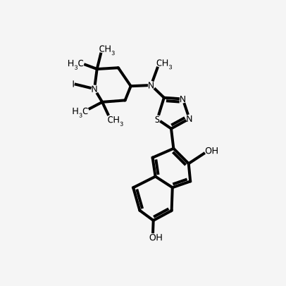 CN(c1nnc(-c2cc3ccc(O)cc3cc2O)s1)C1CC(C)(C)N(I)C(C)(C)C1